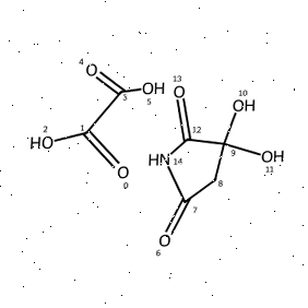 O=C(O)C(=O)O.O=C1CC(O)(O)C(=O)N1